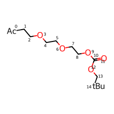 CC(=O)CCOCCOCCOC(=O)OCC(C)(C)C